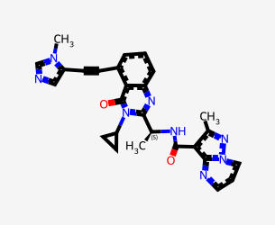 Cc1nn2cccnc2c1C(=O)N[C@@H](C)c1nc2cccc(C#Cc3cncn3C)c2c(=O)n1C1CC1